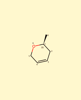 C[C@H]1CC=CCO1